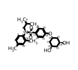 Cc1ccc(N(CC(C)C)S(=O)(=O)c2ccc(O[C@H]3C[C@H](O)C[C@H](O)C3)cc2)c(C)c1